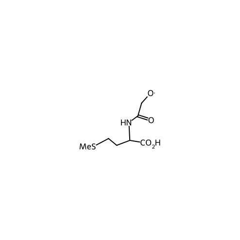 CSCCC(NC(=O)C[O])C(=O)O